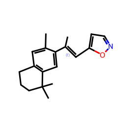 C/C(=C\c1ccno1)c1cc2c(cc1C)CCCC2(C)C